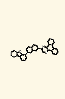 C1=Cc2oc3c(-c4ccc5ccc(-c6cnc7c8ccccc8c8ccccc8c7n6)cc5c4)cccc3c2CC1